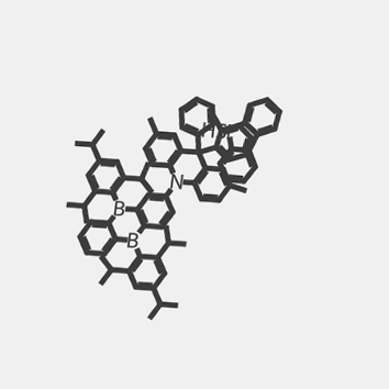 Cc1ccc2c(c1)C(c1ccccc1C)(c1ccccc1[SiH]1c3ccccc3-c3ccccc31)c1cc(C)ccc1N2c1ccc2c(c1)B(c1c(C(C)C)cc(C(C)C)cc1C(C)C)c1ccccc1B2c1c(C(C)C)cc(C(C)C)cc1C(C)C